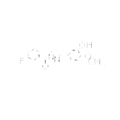 COc1ccc(C2=NN(C(=O)c3cccc(F)c3)CC2)cc1O